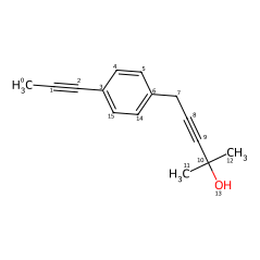 CC#Cc1ccc(CC#CC(C)(C)O)cc1